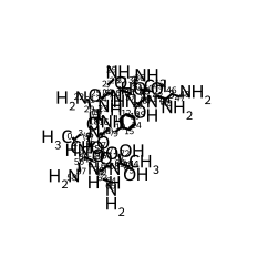 CC(C)C[C@H](NC(=O)[C@@H](Cc1ccccc1)NC(=O)[C@H](CCN)NC(=O)[C@H](CCN)NC(=O)[C@H](CCN)NC(=O)[C@@H](NC(=O)[C@@H](N)CCN)[C@@H](C)O)C(=O)N[C@@H](CCN)C(=O)N[C@@H](CCN)C(=O)N[C@H](C(=O)O)[C@@H](C)O